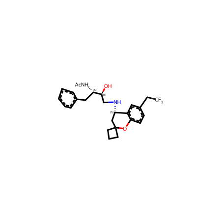 CC(=O)N[C@@H](Cc1ccccc1)[C@@H](O)CN[C@H]1CC2(CCC2)Oc2ccc(CC(F)(F)F)cc21